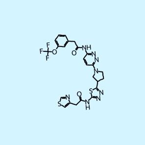 O=C(Cc1cccc(OC(F)(F)F)c1)Nc1ccc(N2CCC(c3nnc(NC(=O)Cc4cscn4)s3)C2)nn1